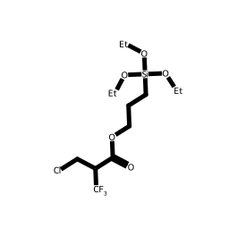 CCO[Si](CCCOC(=O)C(CCl)C(F)(F)F)(OCC)OCC